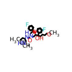 CNCC(CC(C)C)NC(=O)N1CCC[C@@H]([C@@](O)(CCCCOC)c2cc(F)ccc2Oc2ccc(F)cc2)C1